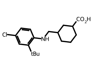 CC(C)(C)c1cc(Cl)ccc1NCC1CCCC(C(=O)O)C1